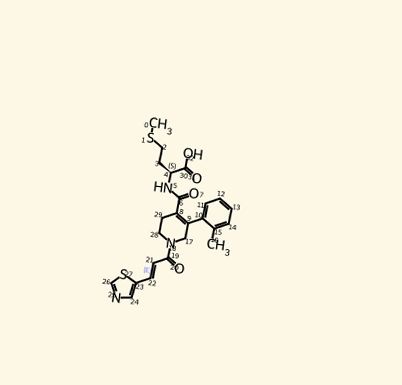 CSCC[C@H](NC(=O)C1=C(c2ccccc2C)CN(C(=O)/C=C/c2cncs2)CC1)C(=O)O